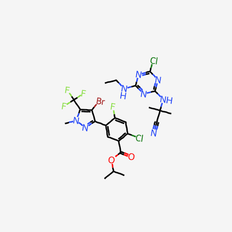 CC(C)OC(=O)c1cc(-c2nn(C)c(C(F)(F)F)c2Br)c(F)cc1Cl.CCNc1nc(Cl)nc(NC(C)(C)C#N)n1